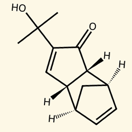 CC(C)(O)C1=C[C@@H]2[C@H](C1=O)[C@H]1C=C[C@@H]2C1